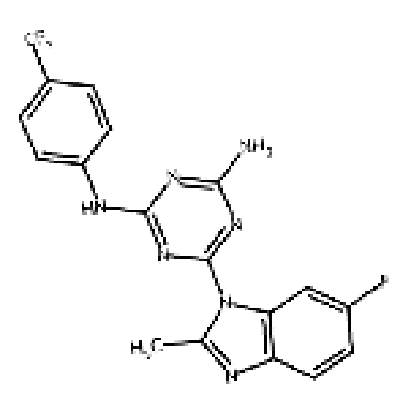 Cc1nc2ccc(F)cc2n1-c1nc(N)nc(Nc2ccc(C(F)(F)F)cc2)n1